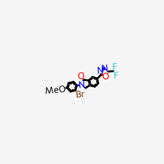 COc1ccc(N2Cc3ccc(-c4nnc(C(F)F)o4)cc3C2=O)c(Br)c1